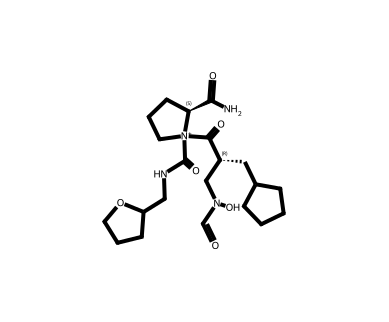 NC(=O)[C@@H]1CCC[N+]1(C(=O)NCC1CCCO1)C(=O)[C@H](CC1CCCC1)CN(O)C=O